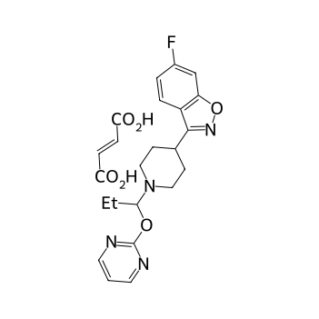 CCC(Oc1ncccn1)N1CCC(c2noc3cc(F)ccc23)CC1.O=C(O)C=CC(=O)O